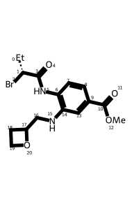 CC[C@@H](Br)C(=O)Nc1ccc(C(=O)OC)cc1NCC1CCO1